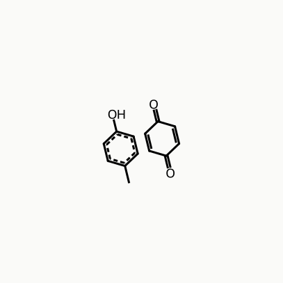 Cc1ccc(O)cc1.O=C1C=CC(=O)C=C1